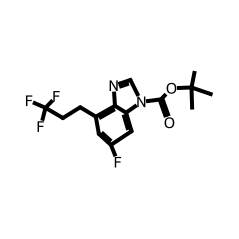 CC(C)(C)OC(=O)n1cnc2c(CCC(F)(F)F)cc(F)cc21